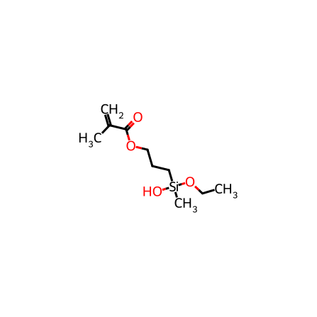 C=C(C)C(=O)OCCC[Si](C)(O)OCC